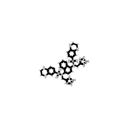 O=S(=O)(c1ccc2c(c1)OCCO2)N(Cc1nn[nH]n1)c1ccc(N(Cc2nn[nH]n2)S(=O)(=O)c2ccc3c(c2)OCCO3)c2ccccc12